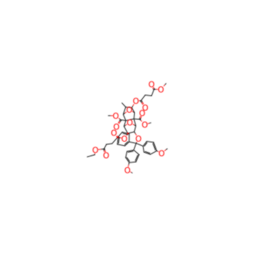 CCOC(=O)CCC(=O)OC1C(OC(c2ccccc2)(c2ccc(OC)cc2)c2ccc(OC)cc2)C2OC1C1(C(=O)OC)C3OC(C(OC(=O)CCC(=O)OC)C3C)C21C(=O)OC